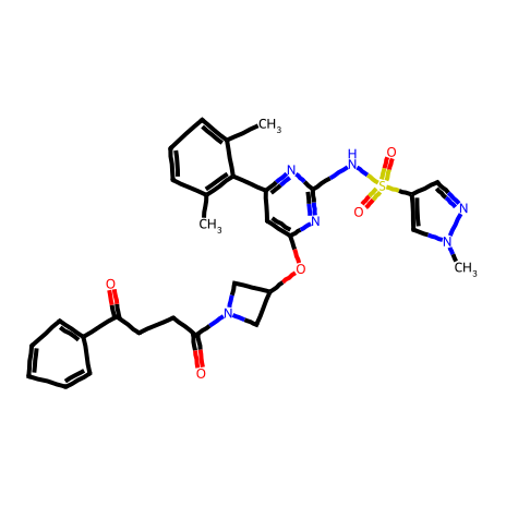 Cc1cccc(C)c1-c1cc(OC2CN(C(=O)CCC(=O)c3ccccc3)C2)nc(NS(=O)(=O)c2cnn(C)c2)n1